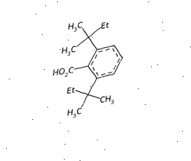 CCC(C)(C)c1cccc(C(C)(C)CC)c1C(=O)O